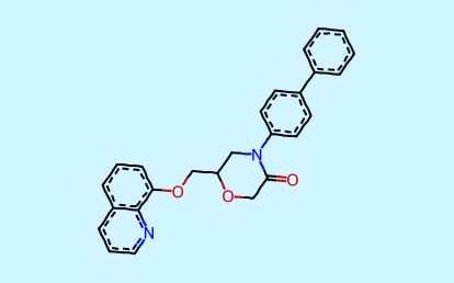 O=C1COC(COc2cccc3cccnc23)CN1c1ccc(-c2ccccc2)cc1